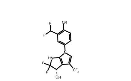 N#Cc1ccc(-n2cc(C(F)(F)F)c3c2NC(F)(F)[C@H]3O)cc1C(F)F